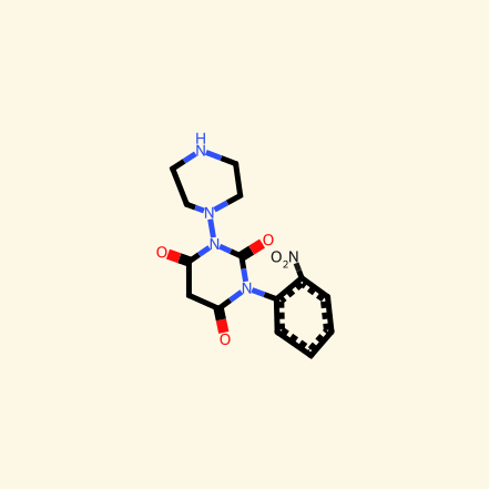 O=C1CC(=O)N(N2CCNCC2)C(=O)N1c1ccccc1[N+](=O)[O-]